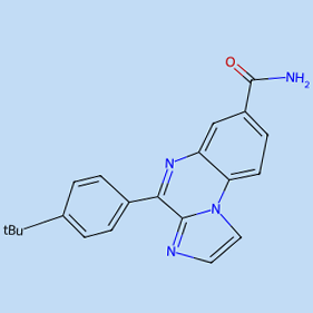 CC(C)(C)c1ccc(-c2nc3cc(C(N)=O)ccc3n3ccnc23)cc1